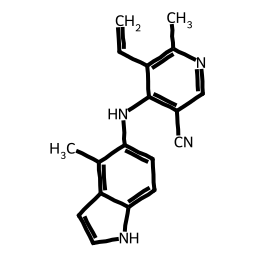 C=Cc1c(C)ncc(C#N)c1Nc1ccc2[nH]ccc2c1C